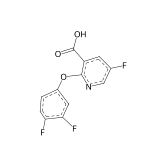 O=C(O)c1cc(F)cnc1Oc1ccc(F)c(F)c1